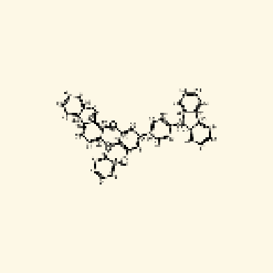 c1ccc2c(c1)Oc1cc(-c3ccc(-n4c5ccccc5c5ccccc54)cc3)cc3c1B2c1ccc2c(sc4ccccc42)c1O3